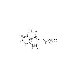 CCCCCCCCCCCC(=O)c1c(N)cccc1O